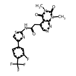 Cn1c(=O)c2c(CC(=O)Nc3nc(-c4ccc(C(F)(F)F)c(F)c4)cs3)cnnc2n(C)c1=O